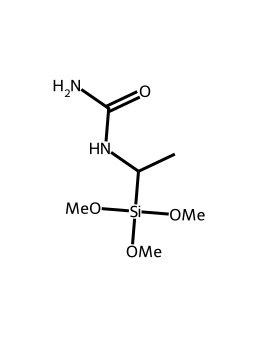 CO[Si](OC)(OC)C(C)NC(N)=O